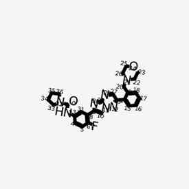 O=C(Nc1ccc(F)c(-c2cn3nc(-c4ccccc4CN4CCOCC4)cnc3n2)c1)N1CCCC1